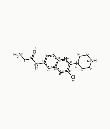 NCC(=O)Nc1ccc2nc(N3CCNCC3)c(Cl)cc2c1